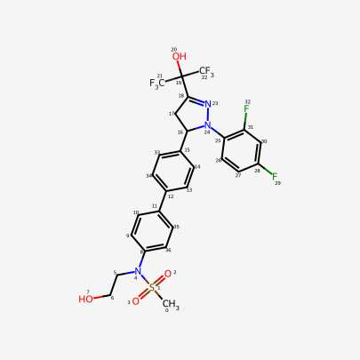 CS(=O)(=O)N(CCO)c1ccc(-c2ccc(C3CC(C(O)(C(F)(F)F)C(F)(F)F)=NN3c3ccc(F)cc3F)cc2)cc1